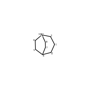 [CH]1CCN2CCC1CC2